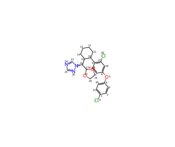 Clc1ccc(Oc2ccc(C3CCCCC3C(C3OCCO3)n3cncn3)c(Cl)c2)cc1